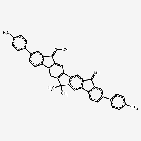 CC1(C)C2=C(C=C3/C(=N\C#N)c4cc(-c5ccc(C(F)(F)F)cc5)ccc4C3C2)c2cc3c(cc21)-c1ccc(-c2ccc(C(F)(F)F)cc2)cc1C3=N